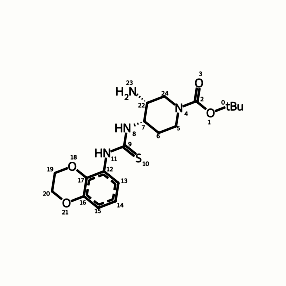 CC(C)(C)OC(=O)N1CC[C@H](NC(=S)Nc2cccc3c2OCCO3)[C@H](N)C1